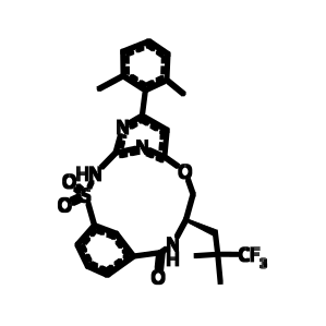 Cc1cccc(C)c1-c1cc2nc(n1)NS(=O)(=O)c1cccc(c1)C(=O)N[C@H](CC(C)(C)C(F)(F)F)CO2